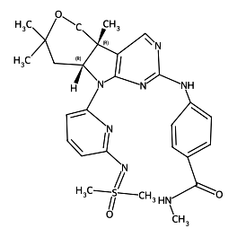 CNC(=O)c1ccc(Nc2ncc3c(n2)N(c2cccc(N=S(C)(C)=O)n2)[C@@H]2CC(C)(C)OC[C@]32C)cc1